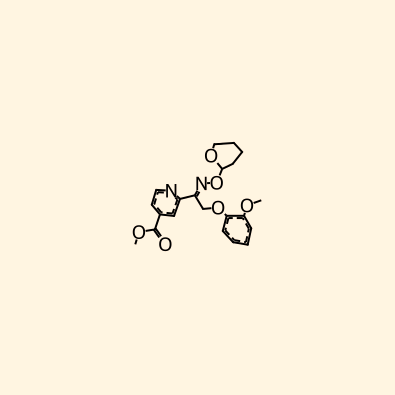 COC(=O)c1ccnc(/C(COc2ccccc2OC)=N/OC2CCCCO2)c1